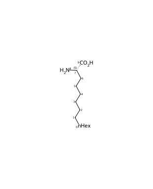 CCCCCCCCCCCC[C@H](N)C(=O)O